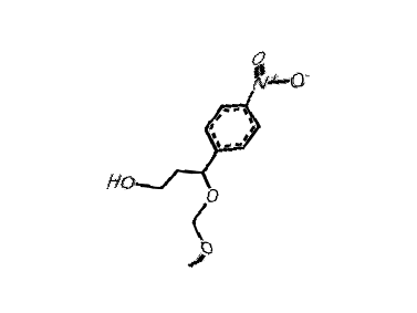 COCOC(CCO)c1ccc([N+](=O)[O-])cc1